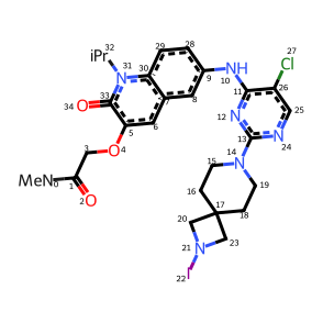 CNC(=O)COc1cc2cc(Nc3nc(N4CCC5(CC4)CN(I)C5)ncc3Cl)ccc2n(C(C)C)c1=O